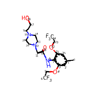 Cc1cc(OCC(F)(F)F)c(NC(=O)CN2CCN(CCO)CC2)c(OCC(F)(F)F)c1